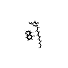 CCCCCCCCCCN1C=CN(C)C1.c1ccc2ncccc2c1